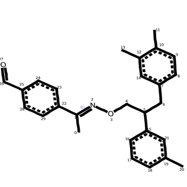 C/C(=N\OCC(Cc1ccc(C)c(C)c1)c1cccc(C)c1)c1ccc(C=O)cc1